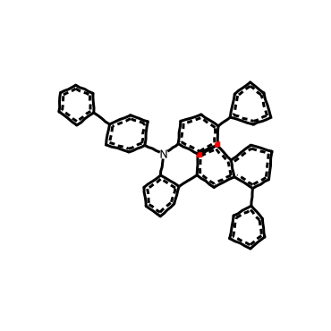 c1ccc(-c2ccc(N(c3ccc(-c4ccccc4)cc3)c3ccccc3-c3ccc4cccc(-c5ccccc5)c4c3)cc2)cc1